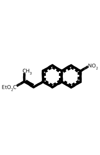 CCOC(=O)C(C)=Cc1ccc2cc([N+](=O)[O-])ccc2c1